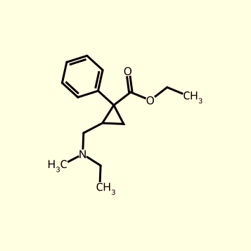 CCOC(=O)C1(c2ccccc2)CC1CN(C)CC